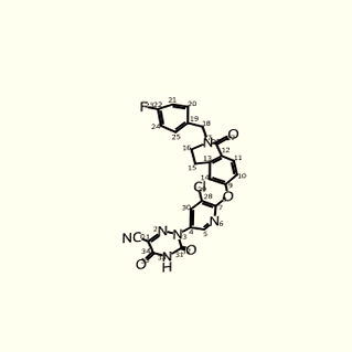 N#Cc1nn(-c2cnc(Oc3ccc4c(c3)CCN(Cc3ccc(F)cc3)C4=O)c(Cl)c2)c(=O)[nH]c1=O